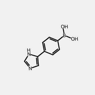 OB(O)c1ccc(-c2cnc[nH]2)cc1